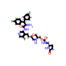 N[C@H](C(=O)Nc1cncc(F)c1CC[C@@H]1CN[C@H](COC(=O)NC[C@H]2CCC(=O)N2)CO1)C(c1ccc(F)cc1)c1ccc(F)cc1